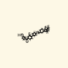 O=C(c1ccc(-c2ccc(OCC3CCN(CC4(C(F)(F)F)CCC4)CC3)cc2)c(F)c1)N1CCC(O)C1